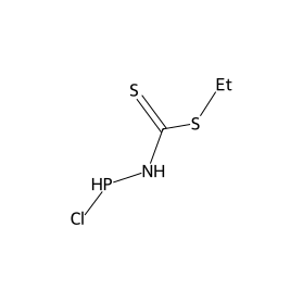 CCSC(=S)NPCl